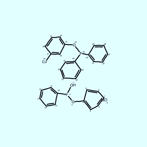 Cl.OP(Oc1ccccc1)c1ccccc1.[Cu][c]1cccc(OP(c2ccccc2)c2ccccc2)c1